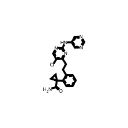 NC(=O)C1(c2ccccc2CCc2nc(Nc3cncnc3)ncc2Cl)CC1